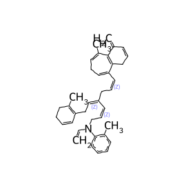 C=CN(C/C=C\C(=C/CC1=C(C)CCC=C1)C/C=C\C1=CCC=C(C)C2=C1CC=CC2=C)c1ccccc1C